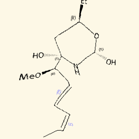 C/C=C\C=C\[C@@H](OC)[C@@]1(O)C[C@@H](CC)O[C@H](O)N1